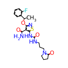 CC(Oc1nsc(NC(=O)NCCCN2CCCC2=O)c1C(N)=O)c1ccccc1F